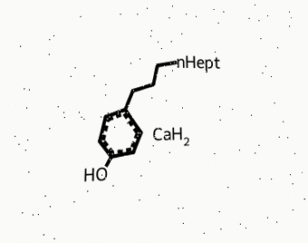 CCCCCCCCCCc1ccc(O)cc1.[CaH2]